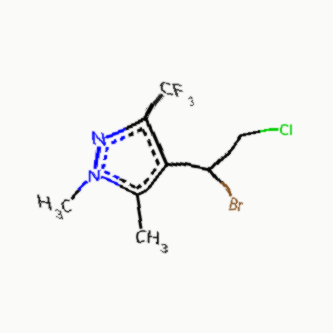 Cc1c(C(Br)CCl)c(C(F)(F)F)nn1C